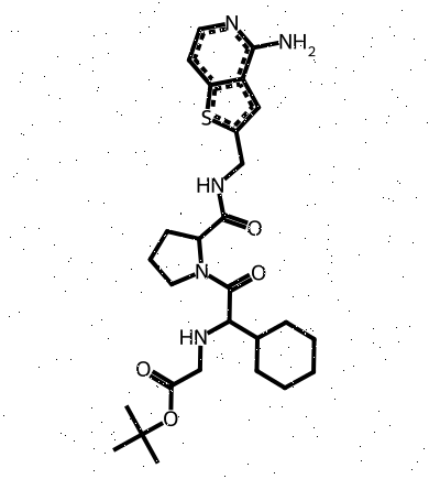 CC(C)(C)OC(=O)CNC(C(=O)N1CCCC1C(=O)NCc1cc2c(N)nccc2s1)C1CCCCC1